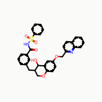 O=C(NS(=O)(=O)c1ccccc1)c1cccc(CC2COc3ccc(OCc4ccc5ccccc5n4)cc3C2O)c1